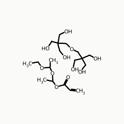 C=CC(=O)OC(C)OC(C)OCC.OCC(CO)(CO)COCC(CO)(CO)CO